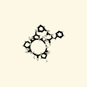 C[C@H]1C[C@H]2C(=O)OC[C@H](NC(=O)[C@H](Cc3ccccc3)NC(=O)Nc3ccccc3)C(=O)N3CC(N)C[C@H]3C(=O)N3CCCC[C@H]3C(=O)N[C@@H](C)C(=O)N2C1